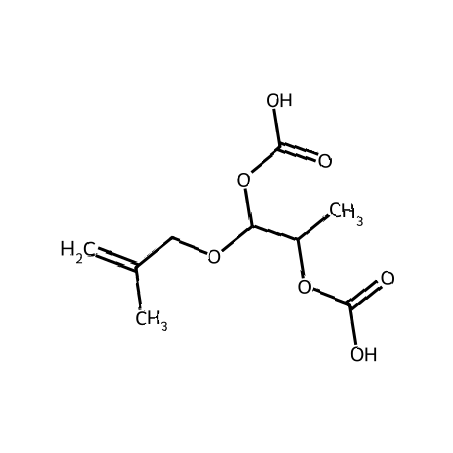 C=C(C)COC(OC(=O)O)C(C)OC(=O)O